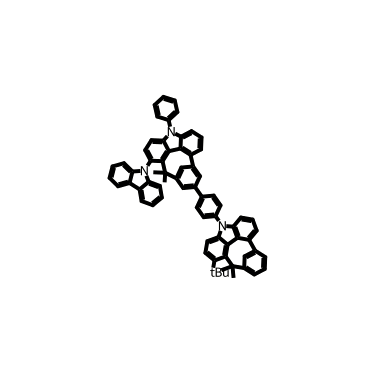 CC(C)(C)c1ccc2c3c1C(C)(C)c1cccc(c1)-c1cccc(c13)n2-c1ccc(-c2cc3cc(c2)C(C)(C)c2c(-n4c5ccccc5c5ccccc54)ccc4c2c2c-3cccc2n4-c2ccccc2)cc1